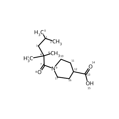 CC(C)CC(C)(C)C(=O)N1CCC(C(=O)O)CC1